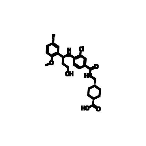 COc1ccc(F)cc1C(CCO)Nc1ccc(C(=O)NC[C@H]2CC[C@H](C(=O)O)CC2)cc1Cl